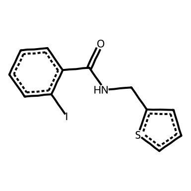 O=C(NCc1cccs1)c1ccccc1I